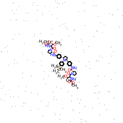 CCS(C)(C)c1ccc(N2[C@H](c3ccc(NC(=O)[C@@H]4CCCN4C(=O)[C@@H](NC(=O)OC)[C@@H](C)OC)cc3)CC[C@H]2c2ccc(NC(=O)[C@@H]3CCCN3C(=O)[C@@H](NC(=O)OC)[C@@H](C)OC)cc2)cc1